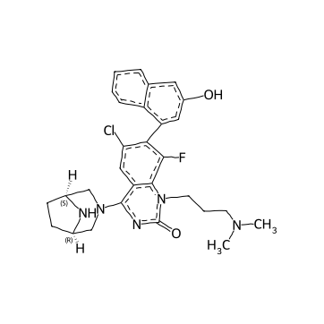 CN(C)CCCn1c(=O)nc(N2C[C@H]3CC[C@@H](C2)N3)c2cc(Cl)c(-c3cc(O)cc4ccccc34)c(F)c21